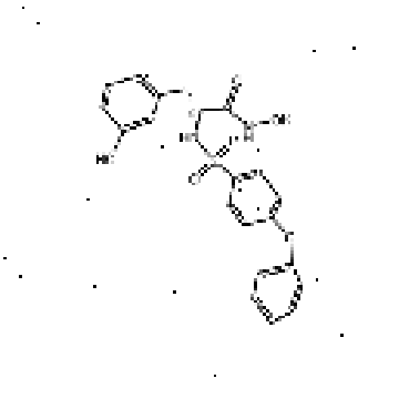 N#Cc1cccc(C[C@@H](NS(=O)(=O)c2ccc(Oc3ccccc3)cc2)C(=O)NO)c1